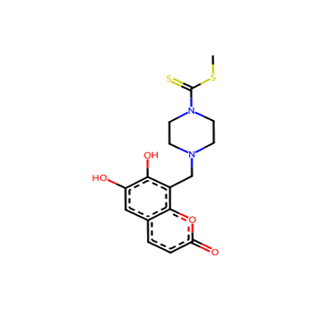 CSC(=S)N1CCN(Cc2c(O)c(O)cc3ccc(=O)oc23)CC1